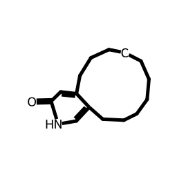 O=c1cc2c(c[nH]1)CCCCCCCCCC2